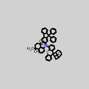 CC1(C)CCC(C)(C)c2c(N(c3ccc4c(c3)C(c3ccccc3)(c3ccccc3)c3ccccc3-4)c3cccc4c3Sc3ccccc3C43C4CC5CC6CC3C64C5)cccc21